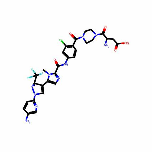 Cn1c(-c2cn(-c3ccc(N)cn3)nc2C(F)(F)F)cnc1C(=O)Nc1ccc(C(=O)N2CCN(C(=O)C(N)CC(=O)O)CC2)c(Cl)c1